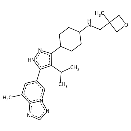 Cc1cc(-c2[nH]nc(C3CCC(NCC4(C)COC4)CC3)c2C(C)C)cn2ncnc12